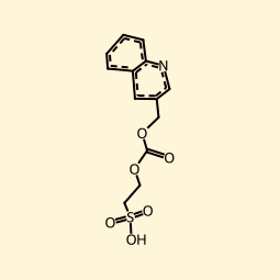 O=C(OCCS(=O)(=O)O)OCc1cnc2ccccc2c1